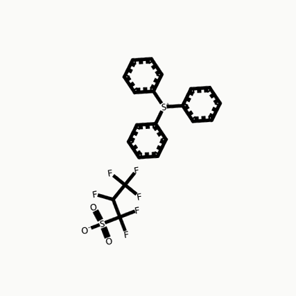 O=S(=O)([O-])C(F)(F)C(F)C(F)(F)F.c1ccc([S+](c2ccccc2)c2ccccc2)cc1